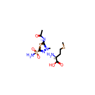 CC(=O)/N=c1\sc(S(N)(=O)=O)nn1C.CSCC[C@H](N)C(=O)O